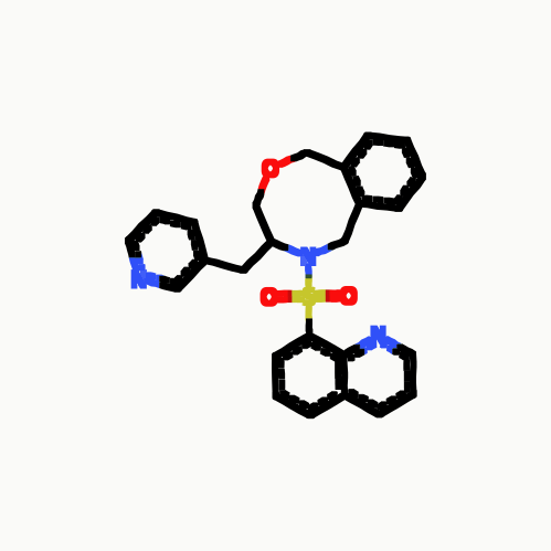 O=S(=O)(c1cccc2cccnc12)N1Cc2ccccc2COCC1Cc1cccnc1